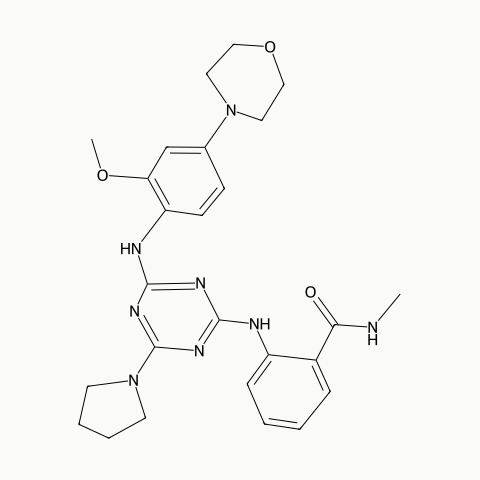 CNC(=O)c1ccccc1Nc1nc(Nc2ccc(N3CCOCC3)cc2OC)nc(N2CCCC2)n1